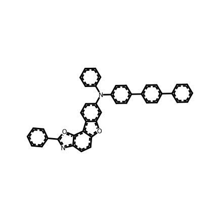 c1ccc(-c2ccc(-c3ccc(N(c4ccccc4)c4ccc5c(c4)oc4ccc6nc(-c7ccccc7)oc6c45)cc3)cc2)cc1